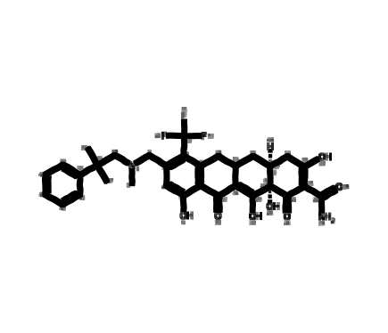 CN(Cc1cc(O)c2c(c1C(F)(F)F)CC1C[C@H]3CC(O)=C(C(N)=O)C(=O)[C@@]3(O)C(O)=C1C2=O)CC(C)(C)c1ccccc1